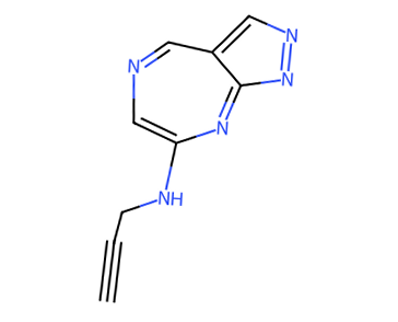 C#CCNc1cncc2cnnc-2n1